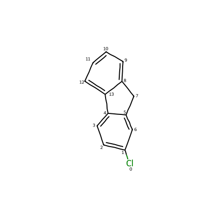 Clc1ccc2c(c1)Cc1ccccc1-2